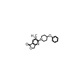 Cc1cc2c(nc1N1CCC(Oc3ccccc3)CC1)COC2=O